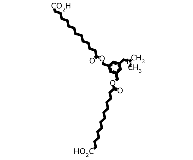 CN(C)Cc1cc(COC(=O)CCCCCCCCCCCCC(=O)O)cc(COC(=O)CCCCCCCCCCCCC(=O)O)c1